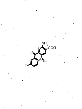 Nc1nc2c(=O)c3cc(Cl)ccc3oc2cc1C(=O)[O-].[Na+]